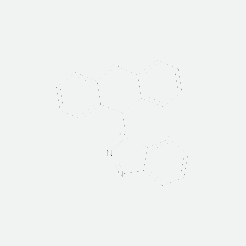 c1ccc2c(c1)Oc1ccccc1C2n1nnc2ccccc21